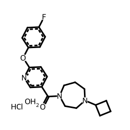 Cl.O.O=C(c1ccc(Oc2ccc(F)cc2)nc1)N1CCCN(C2CCC2)CC1